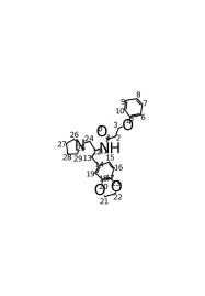 O=C(CCOc1ccccc1)N[C@@H](Cc1ccc2c(c1)OCCO2)CN1CCCC1